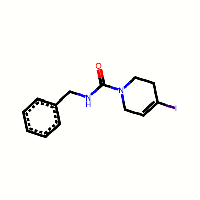 O=C(NCc1ccccc1)N1CC=C(I)CC1